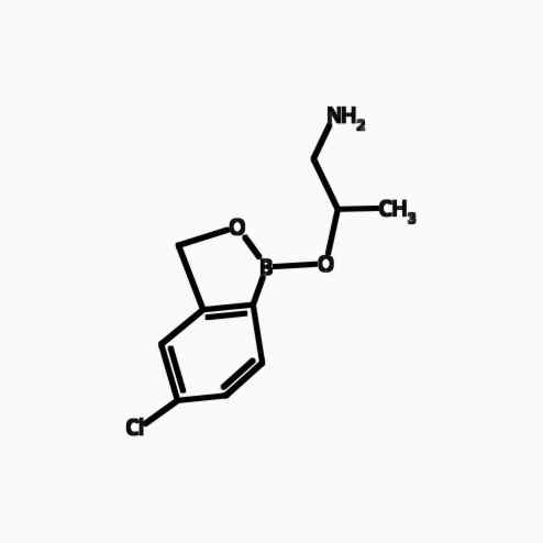 CC(CN)OB1OCc2cc(Cl)ccc21